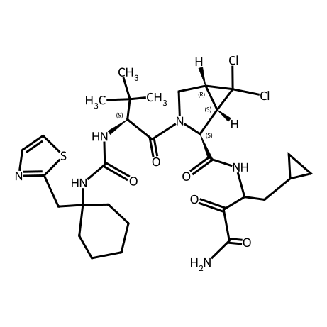 CC(C)(C)[C@H](NC(=O)NC1(Cc2nccs2)CCCCC1)C(=O)N1C[C@H]2[C@@H]([C@H]1C(=O)NC(CC1CC1)C(=O)C(N)=O)C2(Cl)Cl